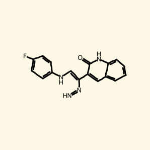 N=N/C(=C\Nc1ccc(F)cc1)c1cc2ccccc2[nH]c1=O